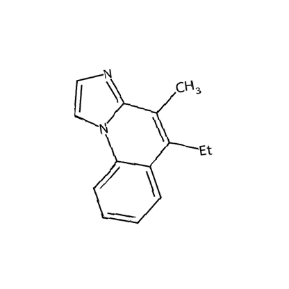 CCc1c(C)c2nccn2c2ccccc12